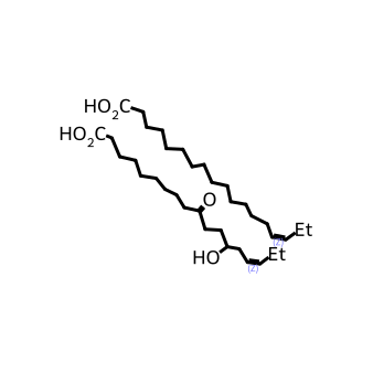 CC/C=C\CC(O)CCC(=O)CCCCCCCCC(=O)O.CC/C=C\CCCCCCCCCCCCCC(=O)O